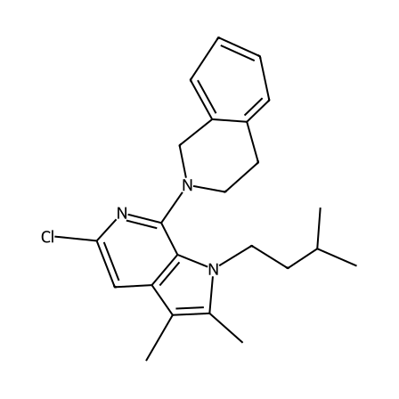 Cc1c(C)n(CCC(C)C)c2c(N3CCc4ccccc4C3)nc(Cl)cc12